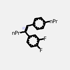 CCC/C(=C/c1ccc(CCC)cc1)c1ccc(F)c(F)c1